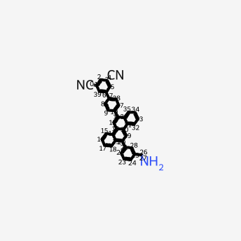 N#Cc1cc(C#N)cc(-c2ccc(-c3cc4c5ccccc5c(-c5cccc(CN)c5)cc4c4ccccc34)cc2)c1